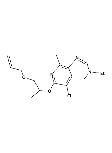 C=CCOCC(C)Oc1nc(C)c(/N=C\N(C)CC)cc1Cl